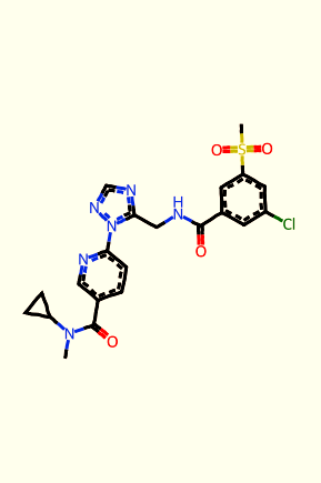 CN(C(=O)c1ccc(-n2ncnc2CNC(=O)c2cc(Cl)cc(S(C)(=O)=O)c2)nc1)C1CC1